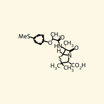 CSc1ccc(OC(C)C(=O)N[C@@]2(C)C(=O)N3[C@@H](C(=O)O)C(C)(C)S[C@@H]32)cc1